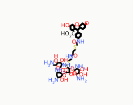 NCC1O[C@H](O[C@@H]2C(N)C[C@@H](N)C(O)[C@H]2OC2O[C@H](CSCCNC(=O)CCSCC(=O)Nc3ccc(-c4c5ccc(=O)cc-5oc5cc(O)ccc45)c(C(=O)O)c3)[C@H](O[C@H]3O[C@@H](CN)[C@@H](O)C(O)C3N)[C@@H]2O)C(N)[C@@H](O)[C@@H]1O